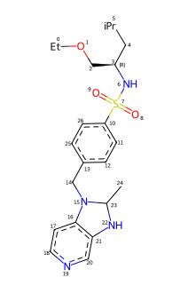 CCOC[C@@H](CC(C)C)NS(=O)(=O)c1ccc(CN2c3ccncc3NC2C)cc1